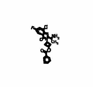 C[C@H](N)c1nc2c(Cl)cc(F)cc2c(=O)n1[C@H]1C[C@H](OC(=O)c2ccccc2)C1